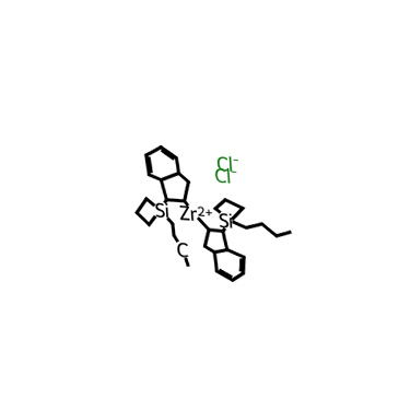 CCCC[Si]1(C2[CH]([Zr+2][CH]3CC4C=CC=CC4C3[Si]3(CCCC)CCC3)CC3C=CC=CC32)CCC1.[Cl-].[Cl-]